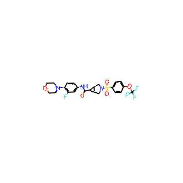 O=C(Nc1ccc(N2CCOCC2)c(F)c1)C1C2CN(S(=O)(=O)c3ccc(OC(F)(F)F)cc3)CC21